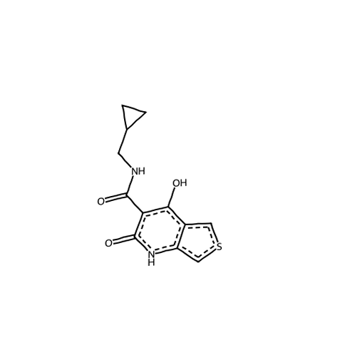 O=C(NCC1CC1)c1c(O)c2cscc2[nH]c1=O